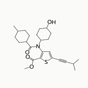 COC(=O)c1sc(C#CC(C)C)cc1N(C(=O)C1CCC(C)CC1)C1CCC(O)CC1